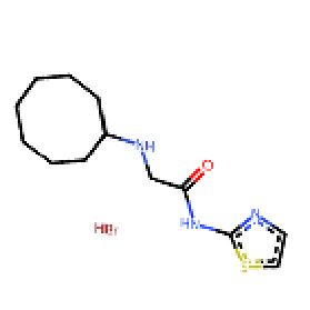 Br.O=C(CNC1CCCCCCC1)Nc1nccs1